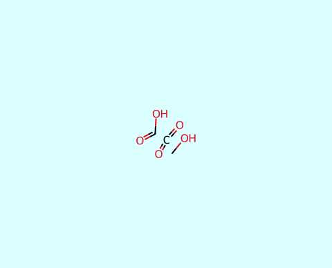 CO.O=C=O.O=CO